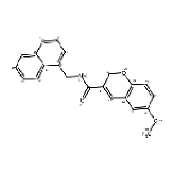 O=C(NCc1ccnc2ccccc12)C1=Cc2cc(OC(F)(F)F)ccc2OC1